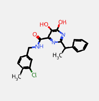 Cc1ccc(CNC(=O)c2nc(C(C)c3ccccc3)nc(O)c2O)cc1Cl